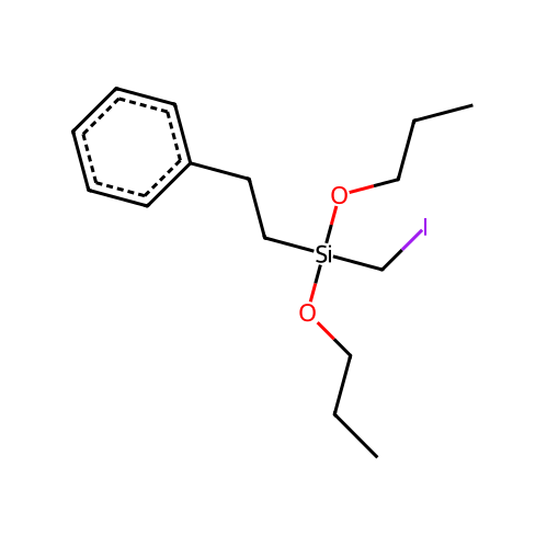 CCCO[Si](CI)(CCc1ccccc1)OCCC